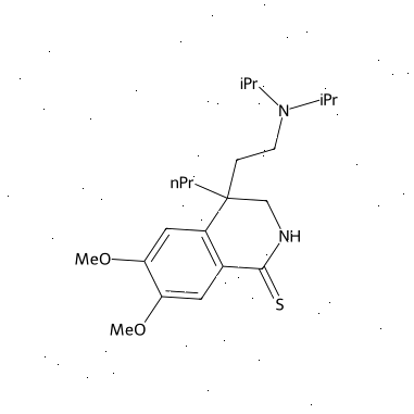 CCCC1(CCN(C(C)C)C(C)C)CNC(=S)c2cc(OC)c(OC)cc21